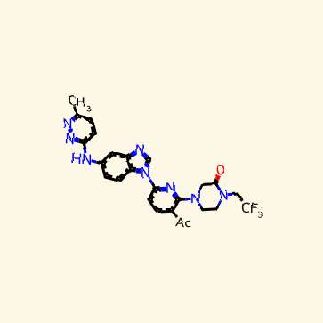 CC(=O)c1ccc(-n2cnc3cc(Nc4ccc(C)nn4)ccc32)nc1N1CCN(CC(F)(F)F)C(=O)C1